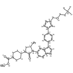 CC(C)C1CN(C2CCN(C(=O)OC(C)(C)C)CC2)C(=O)N1c1ccn2ncc(-c3ccc(-c4ncn(COCC[Si](C)(C)C)n4)cc3)c2n1